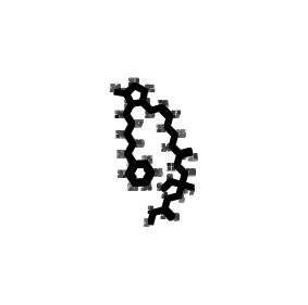 C=C(CC)CCC(C)(CC)CCC(=C)CCC/C=C\CC1CCC(C)C1CCCCCc1ccccc1